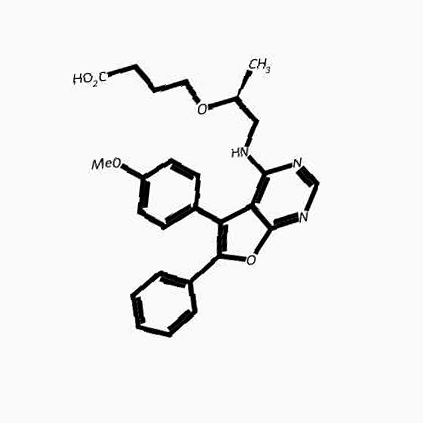 COc1ccc(-c2c(-c3ccccc3)oc3ncnc(NC[C@H](C)OCCCC(=O)O)c23)cc1